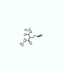 COC(=O)C(CCC#N)C(=O)OC